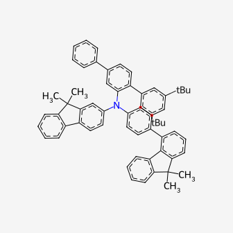 CC(C)(C)c1cc(-c2ccc(-c3ccccc3)cc2N(c2ccc(-c3cccc4c3-c3ccccc3C4(C)C)cc2)c2ccc3c(c2)C(C)(C)c2ccccc2-3)cc(C(C)(C)C)c1